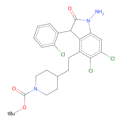 CC(C)(C)OC(=O)N1CCC(CCc2c(Cl)c(Cl)cc3c2C(c2ccccc2Cl)C(=O)N3N)CC1